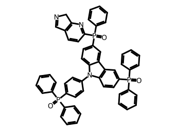 O=P(c1ccccc1)(c1ccccc1)c1ccc(-n2c3ccc(P(=O)(c4ccccc4)c4ccccc4)cc3c3cc(P(=O)(c4ccccc4)c4ccc5c(n4)CN=C5)ccc32)cc1